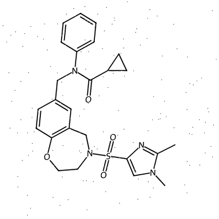 Cc1nc(S(=O)(=O)N2CCOc3ccc(CN(C(=O)C4CC4)c4ccccc4)cc3C2)cn1C